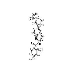 COc1ccc(C(=O)Nc2ncc3cc(-c4cccc(C(N)=O)c4)ccc3n2)c(Cl)c1